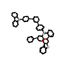 c1ccc(-c2cccc(N(c3ccc(-c4cccc(-c5ccc(-n6c7ccccc7c7ccccc76)cc5)c4)cc3)c3ccccc3-c3ccc4c(c3)oc3ccccc34)c2)cc1